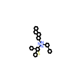 c1ccc(-c2cccc(-c3nc(-c4ccc5c(ccc6c7ccccc7ccc56)c4)nc(-c4cc(-c5ccccc5)c5c(c4)sc4ccccc45)n3)c2)cc1